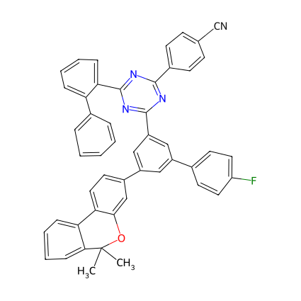 CC1(C)Oc2cc(-c3cc(-c4ccc(F)cc4)cc(-c4nc(-c5ccc(C#N)cc5)nc(-c5ccccc5-c5ccccc5)n4)c3)ccc2-c2ccccc21